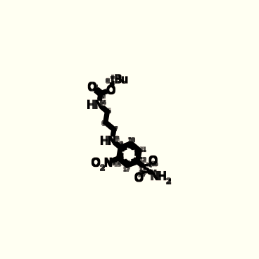 CC(C)(C)OC(=O)NCCCNc1ccc(S(N)(=O)=O)cc1[N+](=O)[O-]